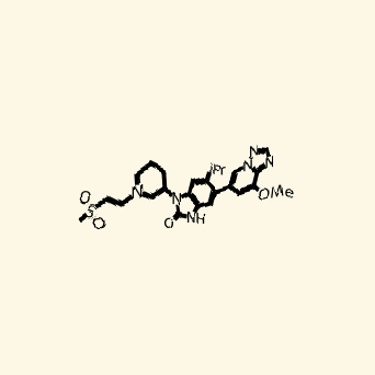 COc1cc(-c2cc3[nH]c(=O)n(C4CCCN(CCS(C)(=O)=O)C4)c3cc2C(C)C)cn2ncnc12